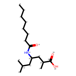 CCCCCCCC(=O)NC(CC(C)C)CC(C)C(=O)O